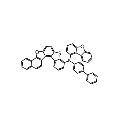 c1ccc(-c2ccc(N(c3cccc4c3sc3ccc5oc6c7ccccc7ccc6c5c34)c3cccc4oc5ccccc5c34)cc2)cc1